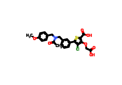 COc1ccc(CN(Cc2cccc(-c3sc(C(=O)O)c(OCC(=O)O)c3Cl)c2)C(C)=O)cc1